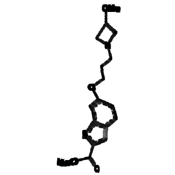 COC(=O)c1cc2ccc(OCCCN3CC(OC)C3)cc2s1